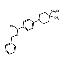 CCOC(=O)C1(C)CCN(c2ccc(C(O)OCc3ccccc3)cc2)CC1